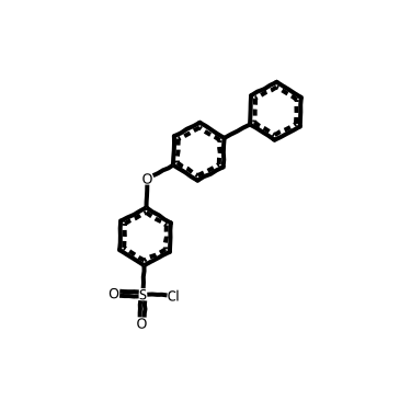 O=S(=O)(Cl)c1ccc(Oc2ccc(-c3ccccc3)cc2)cc1